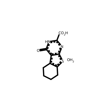 O.O=C(O)c1nc2sc3c(c2c(=O)[nH]1)CCCC3